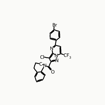 O=C(c1nn2c(C(F)(F)F)cc(-c3ccc(Br)cc3)nc2c1Cl)N1CCCc2ccccc21